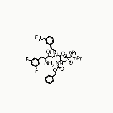 CCCC(CCC)S(=O)(=O)CC(NC(=O)OCc1ccccc1)C(=O)N(CCc1cccc(C(F)(F)F)c1)C[C@@H](O)[C@@H](N)Cc1cc(F)cc(F)c1